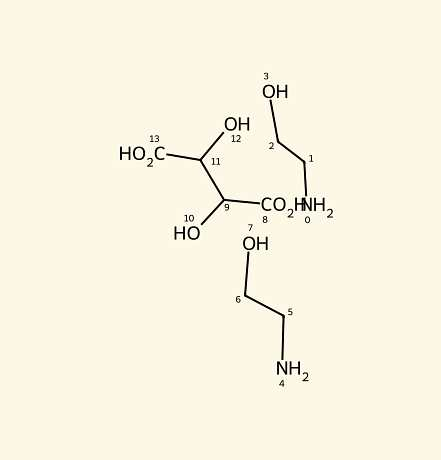 NCCO.NCCO.O=C(O)C(O)C(O)C(=O)O